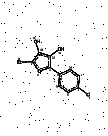 CCc1oc(-c2ccc(Cl)cc2)c(O)c1O